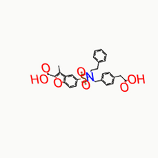 Cc1c(C(=O)O)oc2ccc(S(=O)(=O)N(CCc3ccccc3)Cc3ccc(CC(=O)O)cc3)cc12